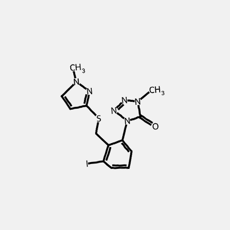 Cn1ccc(SCc2c(I)cccc2-n2nnn(C)c2=O)n1